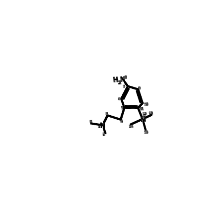 CN(C)CCc1cc(N)ccc1[Si](C)(C)C